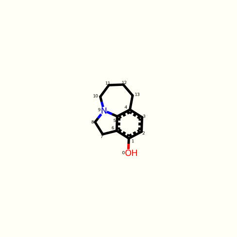 Oc1ccc2c3c1CCN3CCCC2